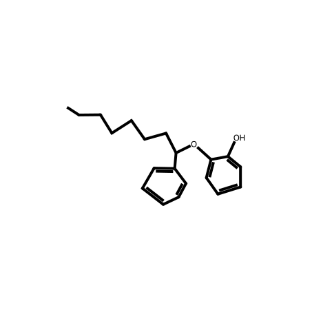 CCCCCCCC(Oc1ccccc1O)c1ccccc1